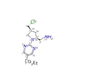 CCOC(=O)c1cnc(N2C[C@@H](CCl)C[C@H]2CN)nc1